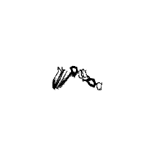 Clc1ccc(COc2cccc(Cn3ccnc3)c2)c(Cl)c1